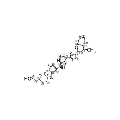 C[C@@H](CC(=O)c1ccc(-c2ccnc(Nc3cccc(CC4CCC(CCO)CC4)c3)n2)s1)c1ccccc1